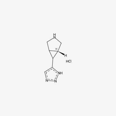 Cl.c1nn[nH]c1C1C2CNC[C@@H]21